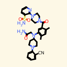 Cc1cc(C)c(N(CC(N)=O)C2CCN(c3ccccc3C#N)CC2)cc1C(=O)N1CCN(c2ncccc2S(N)(=O)=O)CC1